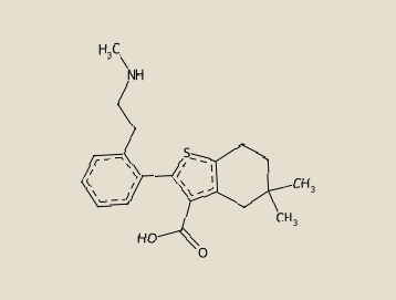 CNCCc1ccccc1-c1sc2c(c1C(=O)O)CC(C)(C)CC2